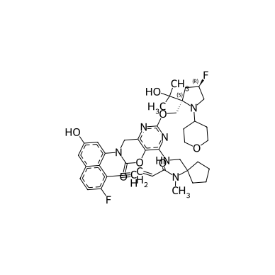 C#Cc1c(F)ccc2cc(O)cc(N3Cc4nc(OC[C@]5(C(C)(C)O)C[C@@H](F)CN5C5CCOCC5)nc(NCC5(N(C)C(=O)C=C)CCCC5)c4OC3=O)c12